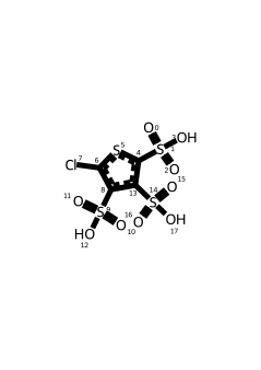 O=S(=O)(O)c1sc(Cl)c(S(=O)(=O)O)c1S(=O)(=O)O